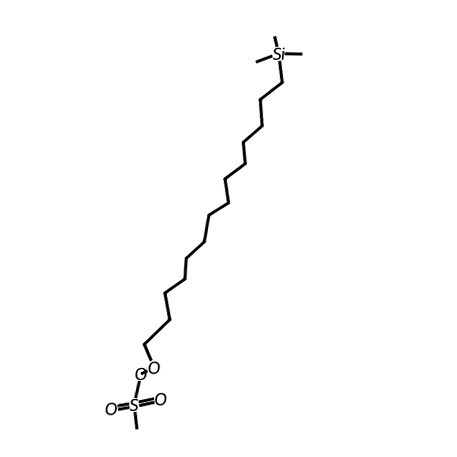 C[Si](C)(C)CCCCCCCCCCCCCCOOS(C)(=O)=O